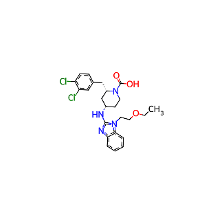 CCOCCn1c(N[C@H]2CCN(C(=O)O)[C@@H](Cc3ccc(Cl)c(Cl)c3)C2)nc2ccccc21